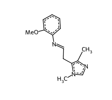 COc1ccccc1N=CCc1c(C)ncn1C